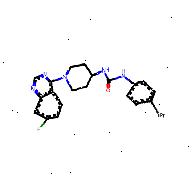 CC(C)c1ccc(NC(=O)NC2CCN(c3ncnc4cc(F)ccc34)CC2)cc1